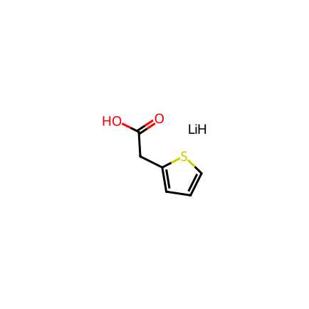 O=C(O)Cc1cccs1.[LiH]